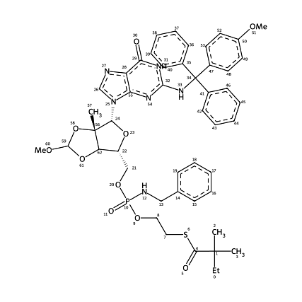 CCC(C)(C)C(=O)SCCOP(=O)(NCc1ccccc1)OC[C@H]1O[C@@H](n2cnc3c(=O)[nH]c(NC(c4ccccc4)(c4ccccc4)c4ccc(OC)cc4)nc32)[C@@]2(C)OC(OC)OC12